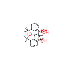 CC(C)(C)c1cccc(C(C)(C)C)c1C(O)(c1c(C(C)(C)C)cccc1C(C)(C)C)C(CO)(CO)CO